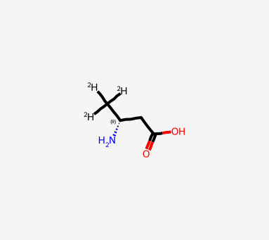 [2H]C([2H])([2H])[C@@H](N)CC(=O)O